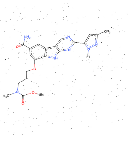 CCn1nc(C)cc1-c1ncc2c(n1)[nH]c1c(OCCCN(C)C(=O)OC(C)(C)C)cc(C(N)=O)cc12